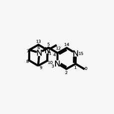 Cc1cnc(CN2C3CC2CN(C)C3)cn1